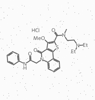 CCN(CC)CCN(C)C(=O)c1sc2c(c1OC)c(=O)n(CC(=O)Nc1ccccc1)c1ccccc21.Cl